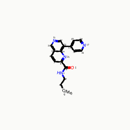 COCCNC(=O)c1ccc2cncc(-c3ccncc3)c2n1